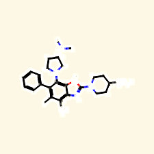 Cc1c(-c2ccccc2)c(N2CC[C@H](N(C)C)C2)c2oc(N3CCC(C(=O)O)CC3)nc2c1C#N